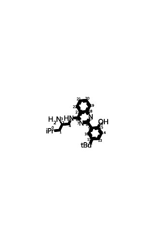 CC(C)C[C@@H](N)CNc1nc(-c2cc(C(C)(C)C)ccc2O)nc2ccccc12